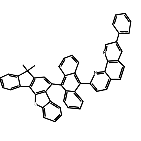 CC1(C)c2ccccc2-c2c1cc(-c1c3ccccc3c(-c3ccc4ccc5cc(-c6ccccc6)cnc5c4n3)c3ccccc13)c1c2oc2ccccc21